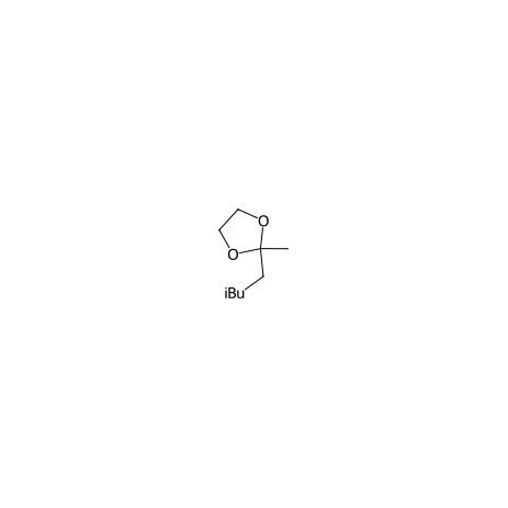 CCC(C)CC1(C)OCCO1